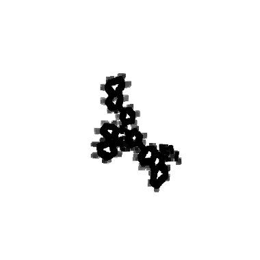 C[Si]1(C)c2ccccc2-c2ccc(-c3ccc(N(c4cccc(-c5ccc6ccccc6c5)c4)c4cccc5c4[Si](C)(C)c4ccccc4-5)cc3)cc21